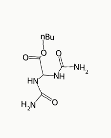 CCCCOC(=O)C(NC(N)=O)NC(N)=O